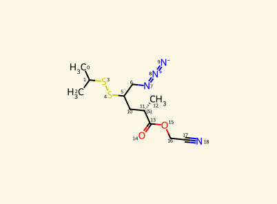 CC(C)SSC(CN=[N+]=[N-])C[C@H](C)C(=O)OCC#N